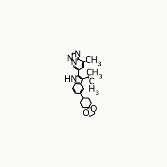 Cc1cc(-c2[nH]c3ccc(C4CCC5(CC4)OCCO5)cc3c2C(C)C)cn2ncnc12